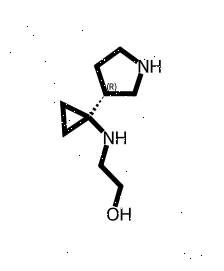 OCCNC1([C@@H]2CCNC2)CC1